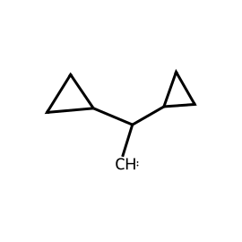 [CH]C(C1CC1)C1CC1